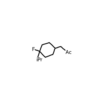 CC(=O)CC1CCC(F)(C(C)C)CC1